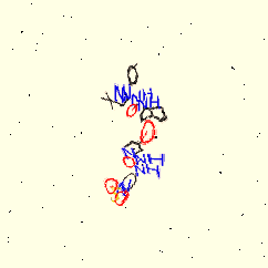 Cc1ccc(-n2nc(C(C)(C)C)cc2NC(=O)Nc2ccc(Oc3ccnc(NC(=O)NC4CCN(S(C)(=O)=O)CC4)c3)c3ccccc23)cc1